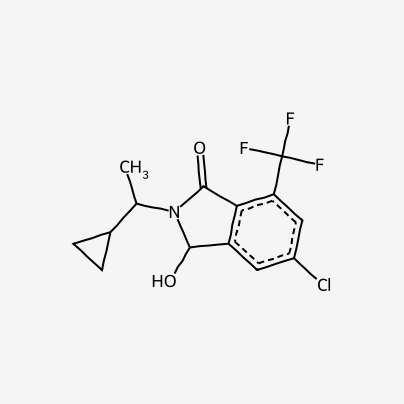 CC(C1CC1)N1C(=O)c2c(cc(Cl)cc2C(F)(F)F)C1O